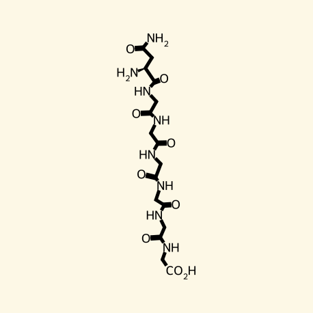 NC(=O)C[C@H](N)C(=O)NCC(=O)NCC(=O)NCC(=O)NCC(=O)NCC(=O)NCC(=O)O